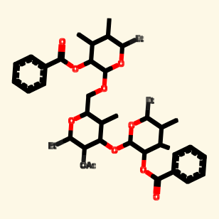 CCC1OC(OCC2OC(CC)C(OC(C)=O)C(OC3OC(CC)C(C)C(C)C3OC(=O)c3ccccc3)C2C)C(OC(=O)c2ccccc2)C(C)C1C